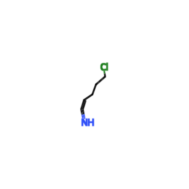 N=C=CCCCCl